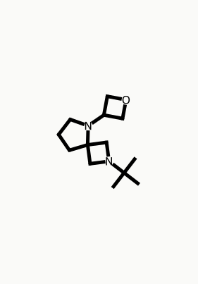 CC(C)(C)N1CC2(CCCN2C2COC2)C1